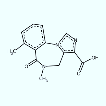 Cc1cccc2c1C(=O)N(C)Cc1c(C(=O)O)ncn1-2